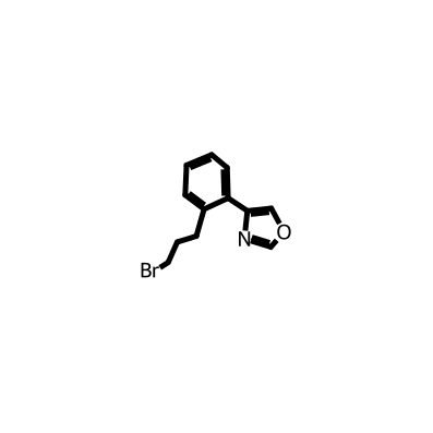 BrCCCc1ccccc1-c1cocn1